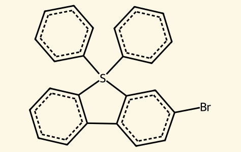 Brc1ccc2c(c1)S(c1ccccc1)(c1ccccc1)c1ccccc1-2